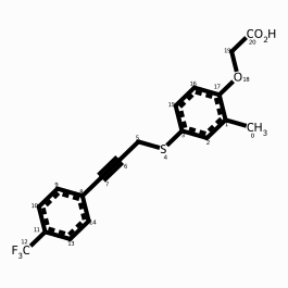 Cc1cc(SCC#Cc2ccc(C(F)(F)F)cc2)ccc1OCC(=O)O